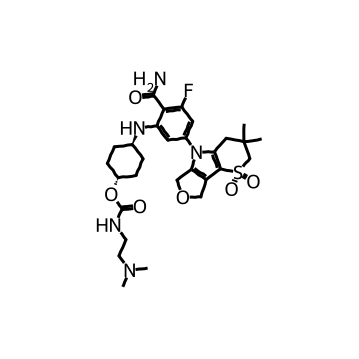 CN(C)CCNC(=O)O[C@H]1CC[C@H](Nc2cc(-n3c4c(c5c3CC(C)(C)CS5(=O)=O)COC4)cc(F)c2C(N)=O)CC1